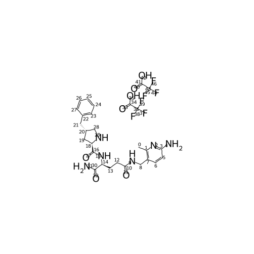 Cc1nc(N)ccc1CNC(=O)CC[C@H](NC(=O)[C@H]1C[C@H](Cc2ccccc2)CN1)C(N)=O.O=C(O)C(F)(F)F.O=C(O)C(F)(F)F